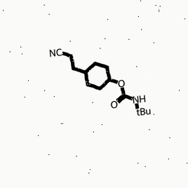 CC(C)(C)NC(=O)OC1CCC(CCC#N)CC1